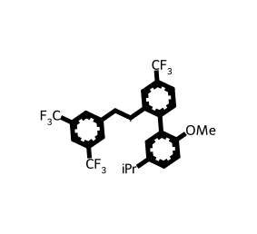 COc1ccc(C(C)C)cc1-c1ccc(C(F)(F)F)cc1[CH]Cc1cc(C(F)(F)F)cc(C(F)(F)F)c1